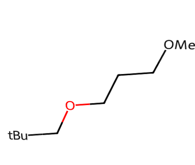 COCCCOCC(C)(C)C